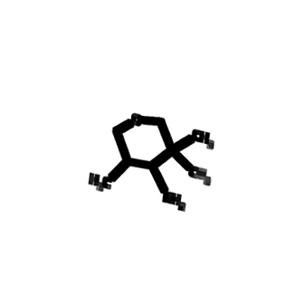 CC1COCC(C)(C)C1N